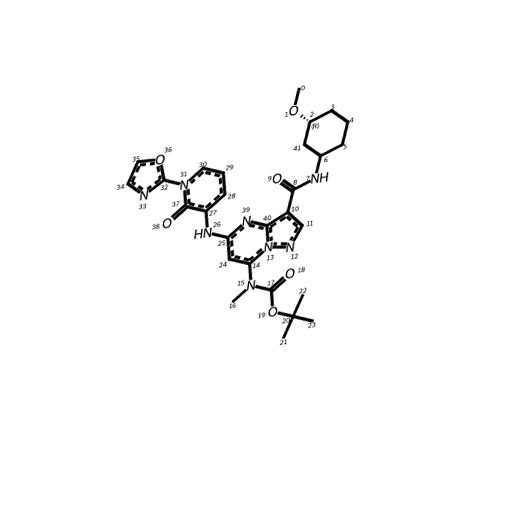 CO[C@@H]1CCCC(NC(=O)c2cnn3c(N(C)C(=O)OC(C)(C)C)cc(Nc4cccn(-c5ncco5)c4=O)nc23)C1